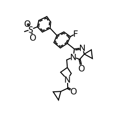 CS(=O)(=O)c1cccc(-c2ccc(C3=NC4(CC4)C(=O)N3CC3CN(C(=O)C4CC4)C3)c(F)c2)c1